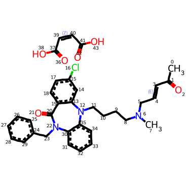 CC(=O)/C=C/CN(C)CCCCN1c2cc(Cl)ccc2C(=O)N(Cc2ccccc2)c2ccccc21.O=C(O)/C=C\C(=O)O